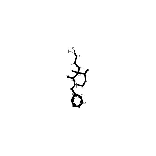 CC1CCN(Cc2ccccc2)C(C)C1(C)CCCO